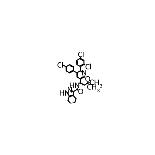 CC1(C)C[C@@H](NC(=O)c2n[nH]c3c2CCCC3)c2cc(-c3ccc(Cl)cc3)c(-c3ccc(Cl)cc3Cl)nc2O1